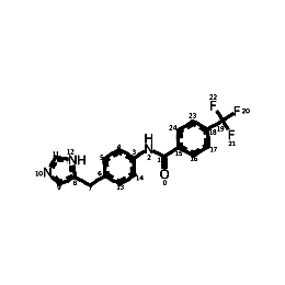 O=C(Nc1ccc(Cc2cnc[nH]2)cc1)c1ccc(C(F)(F)F)cc1